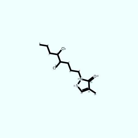 CCCC(Cl)C(Cl)CCCn1scc(C)c1=O